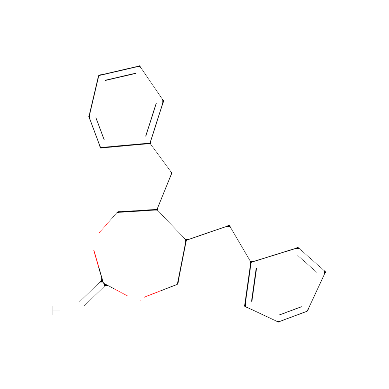 C=C1OCC(Cc2ccccc2)C(Cc2ccccc2)CO1